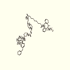 C=C(CCCCCCCC(=C)N1CC2=C(CCC=C2)/C(C)=C(/N)c2ccccc21)N(C)CCN1CCN(C/C=C/C(=C)N2CCCC(n3nc(-c4ccc(CC5=CCCC=C5)cc4)c4c(NC)ncnc43)C2)CC1